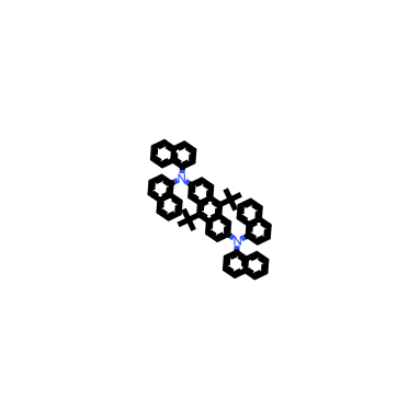 CC(C)(C)c1c2ccc(N(c3cccc4ccccc34)c3cccc4ccccc34)cc2c(C(C)(C)C)c2ccc(N(c3cccc4ccccc34)c3cccc4ccccc34)cc12